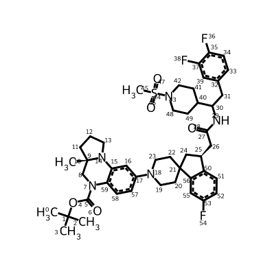 CC(C)(C)OC(=O)N1C[C@]2(C)CCCN2c2cc(N3CCC4(CC3)C[C@@H](CC(=O)NC(Cc3ccc(F)c(F)c3)C3CCN(S(C)(=O)=O)CC3)c3ccc(F)cc34)ccc21